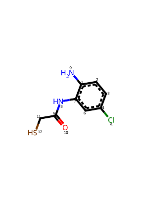 Nc1ccc(Cl)cc1NC(=O)CS